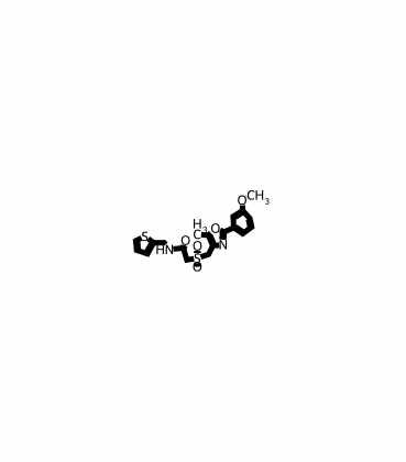 COc1cccc(-c2nc(CS(=O)(=O)CC(=O)NCc3cccs3)c(C)o2)c1